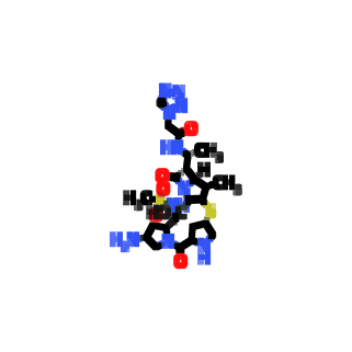 C[C@@H](NC(=O)Cn1cnnn1)[C@H]1C(=O)N2C(C(=O)O)=C(S[C@@H]3CNC(C(=O)N4C[C@@H](N)C[C@H]4CNS(C)(=O)=O)C3)[C@H](C)[C@H]12